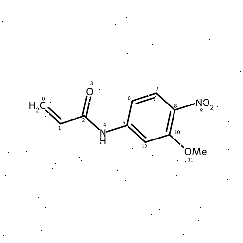 C=CC(=O)Nc1ccc([N+](=O)[O-])c(OC)c1